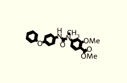 COC(=O)c1ccc(N(C)C(=O)Nc2ccc(Oc3ccccc3)cc2)cc1OC